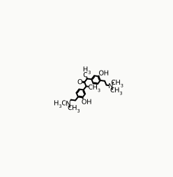 CC(C(=O)C(C)c1ccc(CCN(C)C)c(O)c1)c1ccc(CCN(C)C)c(O)c1